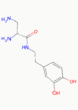 NCC(N)C(=O)NCCc1ccc(O)c(O)c1